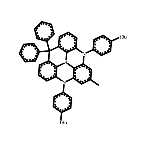 Cc1cc2c3c(c1)N(c1ccc(C(C)(C)C)cc1)c1cccc4c1B3c1c(cccc1C4(c1ccccc1)c1ccccc1)N2c1ccc(C(C)(C)C)cc1